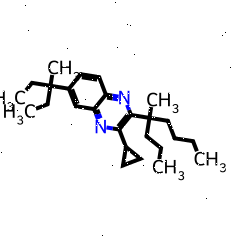 CCCCC(C)(CCC)c1nc2ccc(C(C)(CC)CC)cc2nc1C1CC1